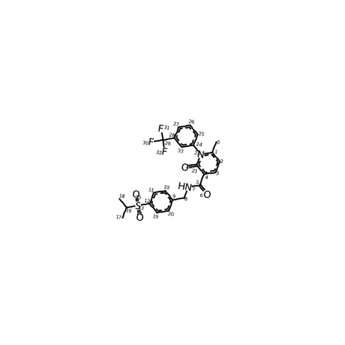 Cc1ccc(C(=O)NCc2ccc(S(=O)(=O)C(C)C)cc2)c(=O)n1-c1cccc(C(F)(F)F)c1